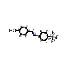 Oc1ccc(/C=C/c2ccc(C(F)(F)F)cc2)cc1